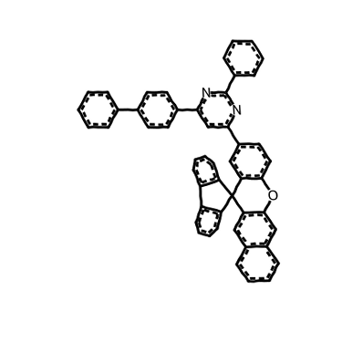 c1ccc(-c2ccc(-c3cc(-c4ccc5c(c4)C4(c6cc7ccccc7cc6O5)c5ccccc5-c5ccccc54)nc(-c4ccccc4)n3)cc2)cc1